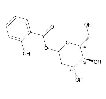 O=C(OC1C[C@@H](O)[C@H](O)[C@@H](CO)O1)c1ccccc1O